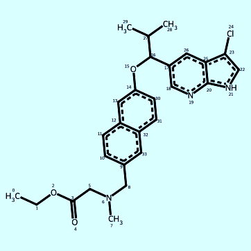 CCOC(=O)CN(C)Cc1ccc2cc(OC(c3cnc4[nH]cc(Cl)c4c3)C(C)C)ccc2c1